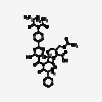 CC(=O)OCC1=C(C(=O)O)N2C(=O)C(N(C(=O)c3cnc(-c4ccc(N(C(C)=O)C(=O)[C@H](C)N)cc4)nc3O)C(=O)C(N)c3ccccc3)[C@@H]2SC1